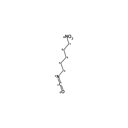 O=C=NCCCCC[N+](=O)[O-]